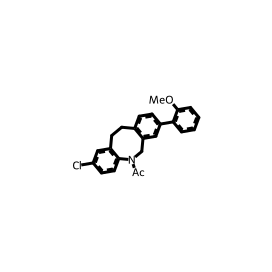 COc1ccccc1-c1ccc2c(c1)CN(C(C)=O)c1ccc(Cl)cc1CC2